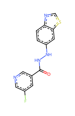 O=C(NNc1ccc2ncsc2c1)c1cncc(F)c1